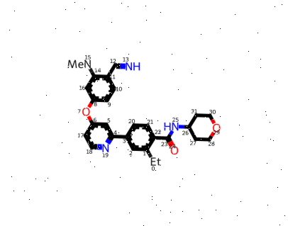 CCc1cc(-c2cc(Oc3ccc(C=N)c(NC)c3)ccn2)ccc1C(=O)NC1CCOCC1